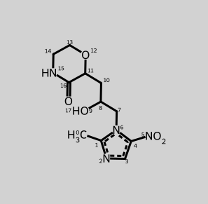 Cc1ncc([N+](=O)[O-])n1CC(O)CC1OCCNC1=O